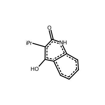 CC(C)c1c(O)c2ccccc2[nH]c1=O